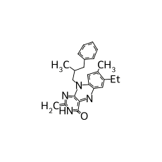 C=c1nc2c(c(=O)[nH]1)=Nc1cc(CC)c(C)cc1N2CC(C)Cc1ccccc1